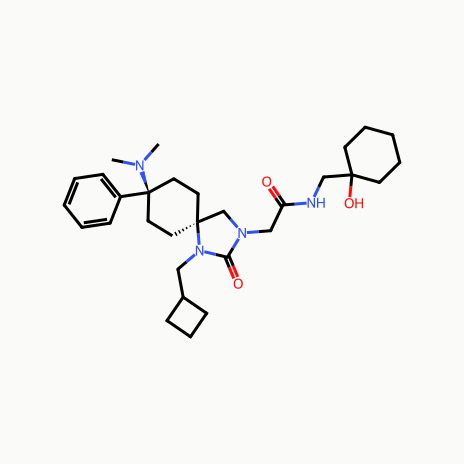 CN(C)[C@]1(c2ccccc2)CC[C@]2(CC1)CN(CC(=O)NCC1(O)CCCCC1)C(=O)N2CC1CCC1